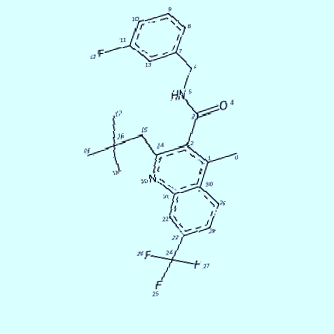 Cc1c(C(=O)NCc2cccc(F)c2)c(CC(C)(C)C)nc2cc(C(F)(F)F)ccc12